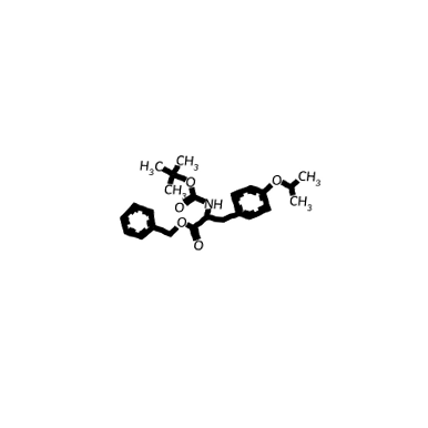 CC(C)Oc1ccc(CC(NC(=O)OC(C)(C)C)C(=O)OCc2ccccc2)cc1